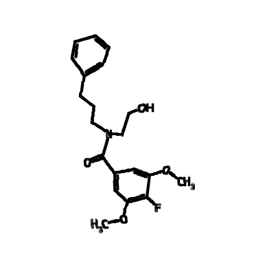 COc1cc(C(=O)N(CCO)CCCc2ccccc2)cc(OC)c1F